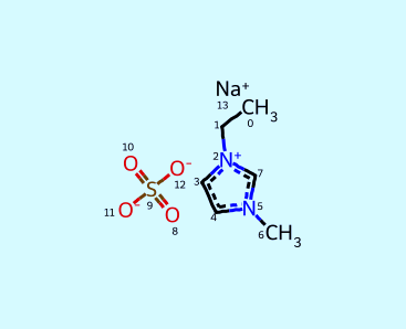 CC[n+]1ccn(C)c1.O=S(=O)([O-])[O-].[Na+]